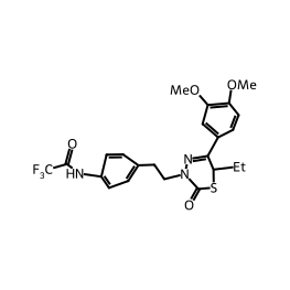 CCC1SC(=O)N(CCc2ccc(NC(=O)C(F)(F)F)cc2)N=C1c1ccc(OC)c(OC)c1